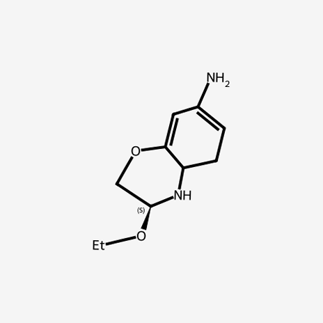 CCO[C@H]1COC2=CC(N)=CCC2N1